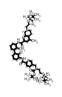 Cc1cc(C(=O)Nc2cccc(-c3cccc(NC(=O)c4ccc(CN(CCO[Si](C)(C)C(C)(C)C)C(=O)OC(C)(C)C)cn4)c3Cl)c2C)nc2c1CCN(CCO[Si](C)(C)C(C)(C)C)C2